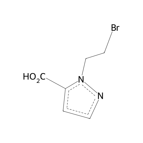 O=C(O)c1ccnn1CCBr